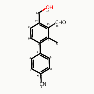 Cc1c(-c2ccc(C#N)cc2)ccc(CO)c1C=O